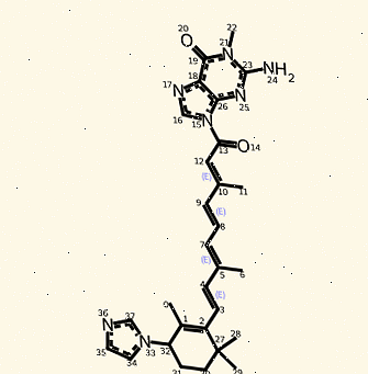 CC1=C(/C=C/C(C)=C/C=C/C(C)=C/C(=O)n2cnc3c(=O)n(C)c(N)nc32)C(C)(C)CCC1n1ccnc1